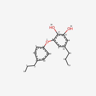 CCCc1ccc(Oc2cc(CCC)cc(O)c2O)cc1